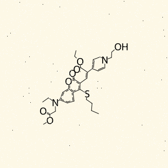 CCCCSc1c(C=C(C(=O)OCC)C2=CCN(CCO)C=C2)c(=O)oc2cc(N(CC)CC(=O)OC)ccc12